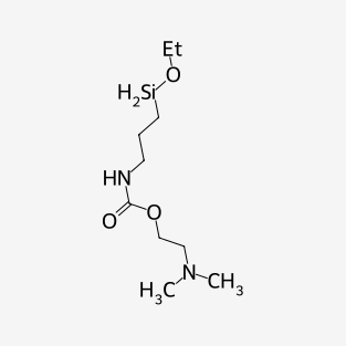 CCO[SiH2]CCCNC(=O)OCCN(C)C